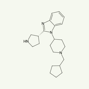 c1ccc2c(c1)nc([C@@H]1CCNC1)n2C1CCN(CC2CCCC2)CC1